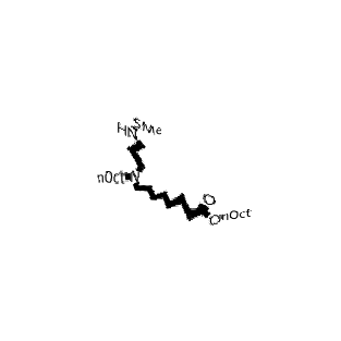 CCCCCCCCOC(=O)CCCCCCCN(CCCCCCCC)CCCNSC